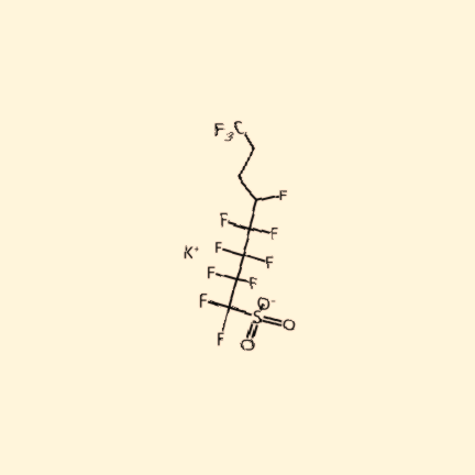 O=S(=O)([O-])C(F)(F)C(F)(F)C(F)(F)C(F)(F)C(F)CCC(F)(F)F.[K+]